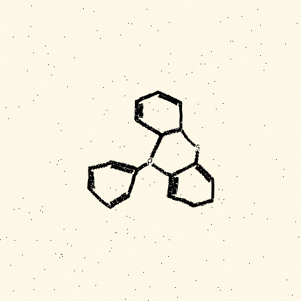 C1=CC2SC3=CCCC=C3P(c3ccccc3)C2C=C1